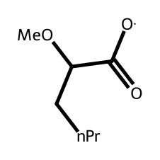 CCCCC(OC)C([O])=O